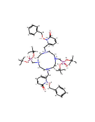 CC(C)(C)OP(=O)(CN1CCN(Cc2cccc(=O)n2OCc2ccccc2)CCN(CP(=O)(OC(C)(C)C)OC(C)(C)C)CCN(Cc2cccc(=O)n2OCc2ccccc2)CC1)OC(C)(C)C